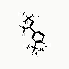 CC(C)(C)C=C(C(=O)Cl)c1ccc(O)c(C(C)(C)C)c1